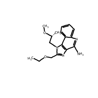 CCOCc1nc2c(N)nc3ccccc3c2n1C[C@@H](C)OC